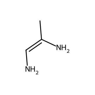 CC(N)=CN